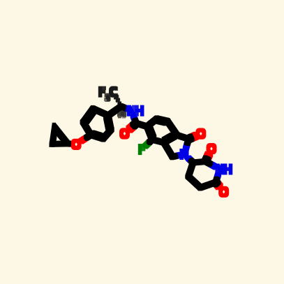 O=C1CCC(N2Cc3c(ccc(C(=O)N[C@H](c4ccc(OC5CC5)cc4)C(F)(F)F)c3F)C2=O)C(=O)N1